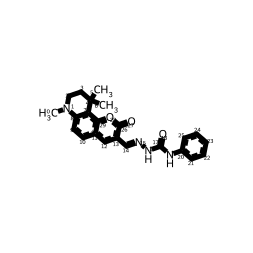 CN1CCC(C)(C)c2c1ccc1cc(/C=N/NC(=O)Nc3ccccc3)c(=O)oc21